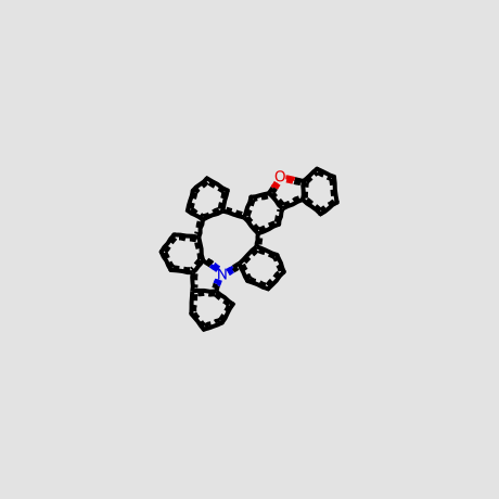 c1ccc2c(c1)oc1cc3c4ccccc4c4cccc5c6ccccc6n(c6ccccc6c3cc12)c45